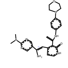 C=C(Nc1ccc(N2CCOCC2)cc1)c1c(/C=C(\N)c2cnc(N(C)C)nc2)cc[nH]c1=O